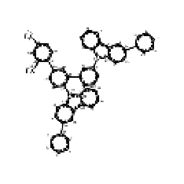 N#Cc1ccc(-n2c3ccccc3c3cc(-c4ccccc4)ccc32)cc1-c1cc(-c2ccc(C(F)(F)F)cc2C(F)(F)F)ccc1-n1c2ccccc2c2cc(-c3ccccc3)ccc21